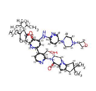 CC(C)[Si](c1cc2nc(-c3ccnc(N4CCn5c(cc6c5CC(C)(C)C6)C4=O)c3CO)cc(Nc3ccc(N4CCN(C5COC5)CC4)cn3)c2o1)(C(C)C)C(C)C